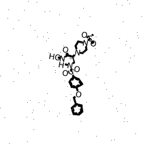 CN(C[C@@H](C(=O)NO)N1CCN(S(C)(=O)=O)CC1)S(=O)(=O)c1ccc(OCc2ccccc2)cc1